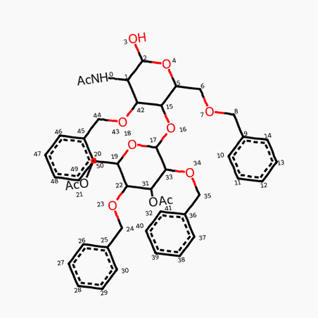 CC(=O)NC1C(O)OC(COCc2ccccc2)C(OC2OC(COC(C)=O)C(OCc3ccccc3)C(OC(C)=O)C2OCc2ccccc2)C1OCc1ccccc1